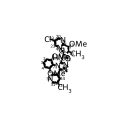 COc1cccc(OC)c1-n1c(NS(=O)(=O)[C@H](C)[C@@H](OC)c2ncc(Cl)cn2)nnc1-c1cncc(C)c1